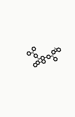 c1ccc(N(c2ccccc2)c2ccc(N3c4cc5ccccc5cc4-c4cccc5c(-c6ccc(N(c7ccccc7)c7ccc8sc9ccccc9c8c7)cc6)ccc3c45)cc2)cc1